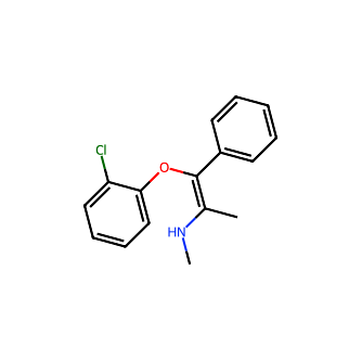 CNC(C)=C(Oc1ccccc1Cl)c1ccccc1